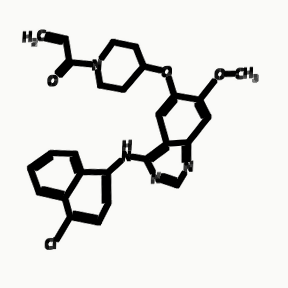 C=CC(=O)N1CCC(Oc2cc3c(Nc4ccc(Cl)c5ccccc45)ncnc3cc2OC)CC1